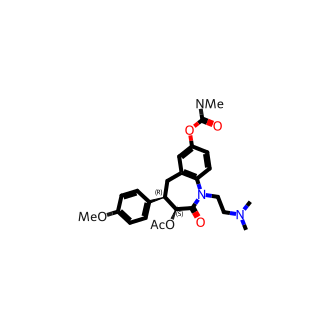 CNC(=O)Oc1ccc2c(c1)C[C@H](c1ccc(OC)cc1)[C@H](OC(C)=O)C(=O)N2CCN(C)C